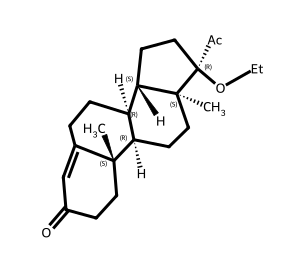 CCO[C@]1(C(C)=O)CC[C@H]2[C@@H]3CCC4=CC(=O)CC[C@@]4(C)[C@@H]3CC[C@@]21C